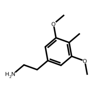 COc1cc(CCN)cc(OC)c1C